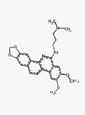 COc1cc2c(NCCCN(C)C)nc3c4cc5c(cc4ccc3c2cc1OC)OCO5